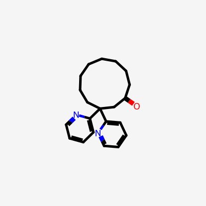 O=C1CCCCCCCCC(c2ccccn2)(c2ccccn2)C1